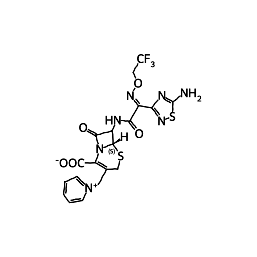 Nc1nc(C(=NOCC(F)(F)F)C(=O)NC2C(=O)N3C(C(=O)[O-])=C(C[n+]4ccccc4)CS[C@@H]23)ns1